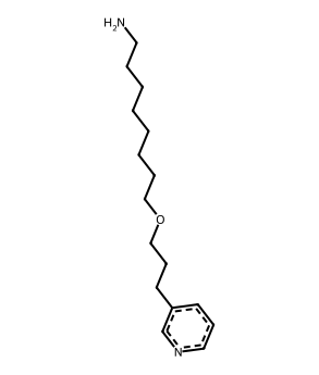 NCCCCCCCCOCCCc1cccnc1